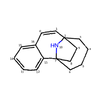 C1=CC23CCCCC(CC2)(N3)c2ccccc21